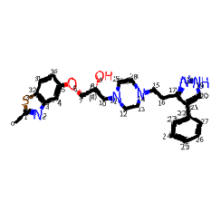 Cc1nc2cc(OC[C@H](O)CN3CCN(CCc4n[nH]cc4-c4ccccc4)CC3)ccc2s1